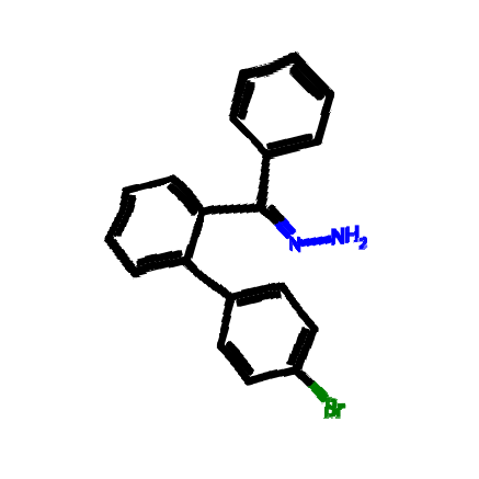 NN=C(c1ccccc1)c1ccccc1-c1ccc(Br)cc1